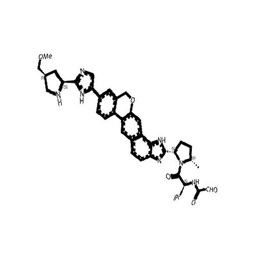 COC[C@@H]1CN[C@H](c2ncc(-c3ccc4c(c3)COc3cc5c(ccc6nc([C@@H]7CC[C@H](C)N7C(=O)[C@@H](NC(=O)C=O)C(C)C)[nH]c65)cc3-4)[nH]2)C1